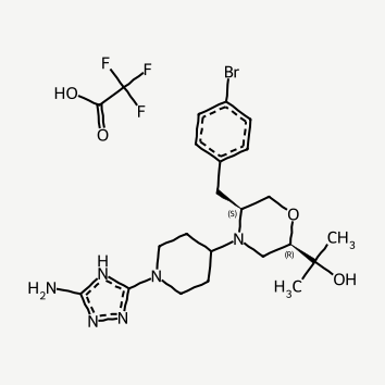 CC(C)(O)[C@H]1CN(C2CCN(c3nnc(N)[nH]3)CC2)[C@@H](Cc2ccc(Br)cc2)CO1.O=C(O)C(F)(F)F